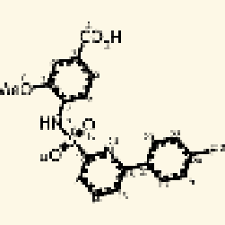 COc1cc(C(=O)O)ccc1NS(=O)(=O)c1cccc(-c2ccc(F)cc2)n1